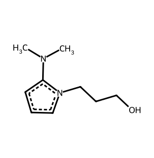 CN(C)c1cccn1CCCO